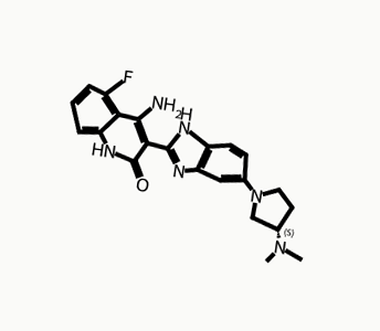 CN(C)[C@H]1CCN(c2ccc3[nH]c(-c4c(N)c5c(F)cccc5[nH]c4=O)nc3c2)C1